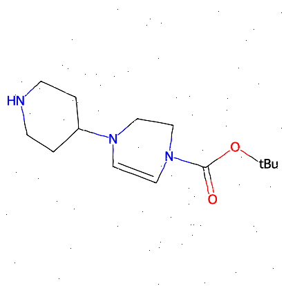 CC(C)(C)OC(=O)N1C=CN(C2CCNCC2)CC1